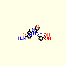 Cc1cc2c(C(N)=O)cccn2c1-c1nc2c(c(NCc3cccc(B(O)O)c3)n1)CCOC2